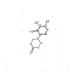 O=C1CCC(n2ncc(Cl)c(Cl)c2=O)CC1